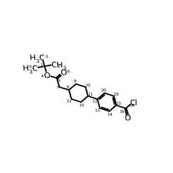 CC(C)(C)OC(=O)CC1CCC(c2ccc(C(=O)Cl)cc2)CC1